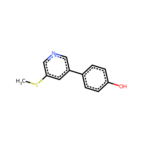 CSc1cncc(-c2ccc(O)cc2)c1